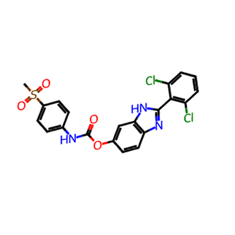 CS(=O)(=O)c1ccc(NC(=O)Oc2ccc3nc(-c4c(Cl)cccc4Cl)[nH]c3c2)cc1